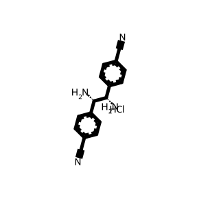 Cl.N#Cc1ccc([C@H](N)[C@@H](N)c2ccc(C#N)cc2)cc1